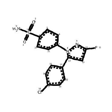 NS(=O)(=O)c1ccc(-n2nc(F)cc2-c2ccc(Cl)cc2)cc1